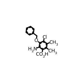 Cc1c(C)c(C(=O)O)c(N)c(OCc2ccccc2)c1Cl